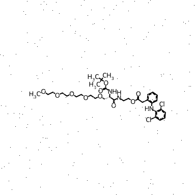 COCCOCCOCCOCCOC[C@H](NC(=O)OC(C)(C)C)C(=O)NCCOC(=O)Cc1ccccc1Nc1c(Cl)cccc1Cl